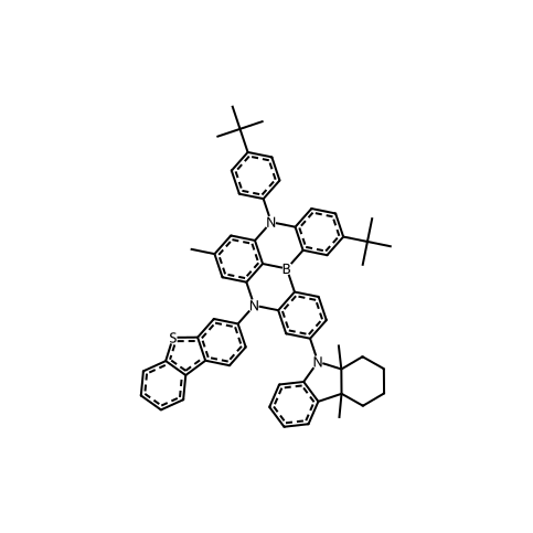 Cc1cc2c3c(c1)N(c1ccc4c(c1)sc1ccccc14)c1cc(N4c5ccccc5C5(C)CCCCC45C)ccc1B3c1cc(C(C)(C)C)ccc1N2c1ccc(C(C)(C)C)cc1